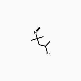 C=NC(C)(C)CC(C)CC